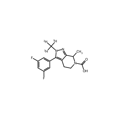 [2H]C([2H])([2H])n1nc2c(c1-c1cc(F)cc(F)c1)CCN(C(=O)O)C2C